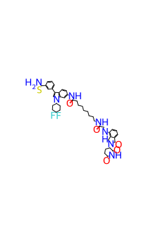 NC(=S)c1cccc(-c2cn(C3CCC(F)(F)CC3)c3cc(NC(=O)CCCCCCCCNC(=O)CNc4cccc5c4CN(C4CCC(=O)NC4=O)C5=O)ccc23)c1